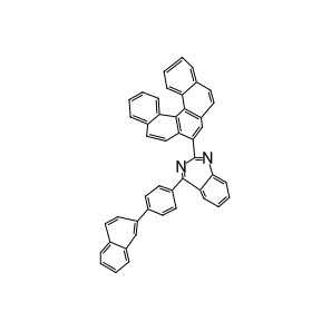 c1ccc2cc(-c3ccc(-c4nc(-c5cc6ccc7ccccc7c6c6c5ccc5ccccc56)nc5ccccc45)cc3)ccc2c1